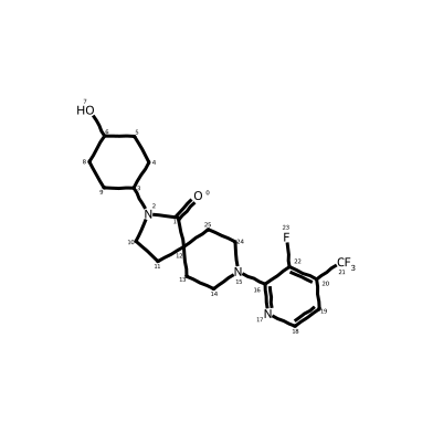 O=C1N(C2CCC(O)CC2)CCC12CCN(c1nccc(C(F)(F)F)c1F)CC2